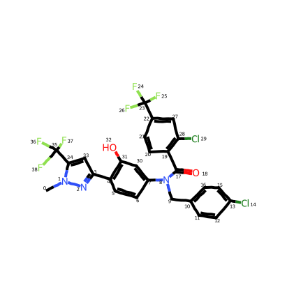 Cn1nc(-c2ccc(N(Cc3ccc(Cl)cc3)C(=O)c3ccc(C(F)(F)F)cc3Cl)cc2O)cc1C(F)(F)F